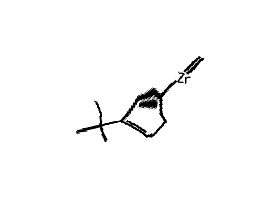 [CH2]=[Zr][C]1=CC(C(C)(C)C)=CC1